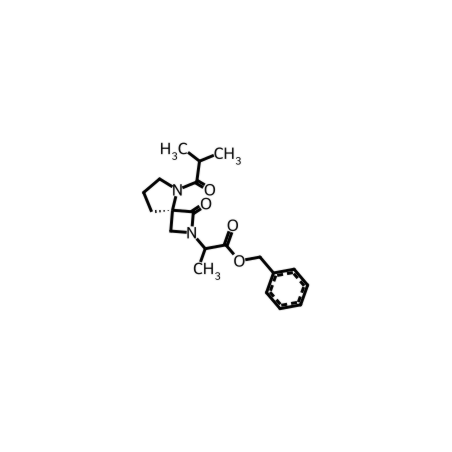 CC(C)C(=O)N1CCC[C@]12CN(C(C)C(=O)OCc1ccccc1)C2=O